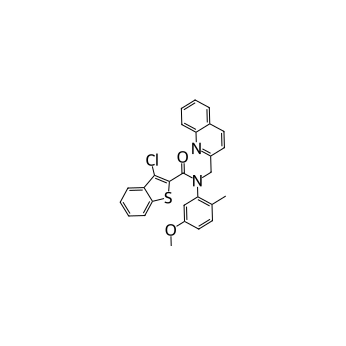 COc1ccc(C)c(N(Cc2ccc3ccccc3n2)C(=O)c2sc3ccccc3c2Cl)c1